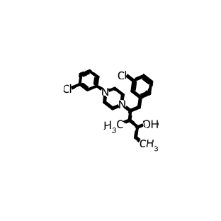 CCC(O)C(C)C(Cc1cccc(Cl)c1)N1CCN(c2cccc(Cl)c2)CC1